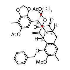 C=C1[C@H]2c3c(cc(C)c(OC)c3OCc3ccccc3)C[C@@H](C(=O)N1[C@@H](COC(C)=O)c1cc(OC(C)=O)c(C)c3c1OCO3)N2C(=O)OCC(Cl)(Cl)Cl